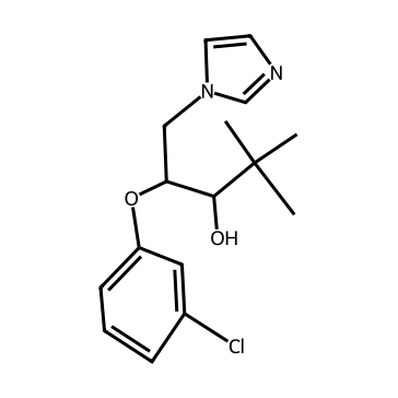 CC(C)(C)C(O)C(Cn1ccnc1)Oc1cccc(Cl)c1